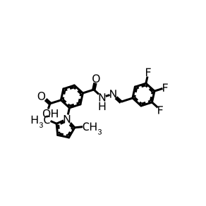 Cc1ccc(C)n1-c1cc(C(=O)N/N=C/c2cc(F)c(F)c(F)c2)ccc1C(=O)O